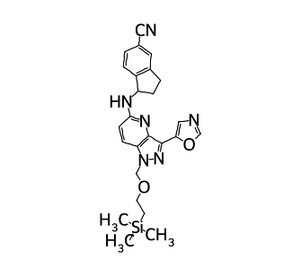 C[Si](C)(C)CCOCn1nc(-c2cnco2)c2nc(NC3CCc4cc(C#N)ccc43)ccc21